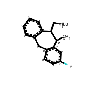 CC[C@H](C)CC1c2ccccc2Cc2ccc(F)cc2C1C